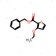 CCOc1ccsc1C(=O)OCc1ccccc1